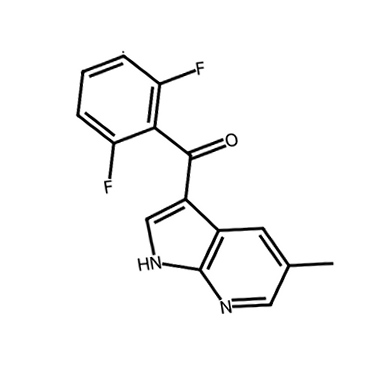 Cc1cnc2[nH]cc(C(=O)c3c(F)[c]ccc3F)c2c1